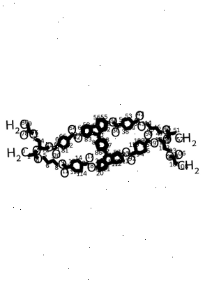 C=CC(=O)OCCCCOC(=O)C1CCC(C(=O)Oc2ccc3c(c2)C(c2ccc(C4c5cc(OC(=O)C6CCC(C(=O)OCCCCOC(=O)C=C)CC6)ccc5-c5ccc(OC(=O)C6CCC(C(=O)OCCCCOC(=O)C=C)CC6)cc54)cc2)c2cc(OC(=O)C4CCC(C(=O)OCCCCOC(=O)C=C)CC4)ccc2-3)CC1